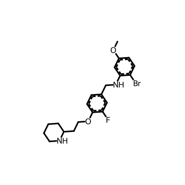 COc1ccc(Br)c(NCc2ccc(OCCC3CCCCN3)c(F)c2)c1